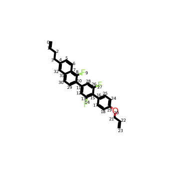 C=CCCc1ccc2c(F)c(-c3cc(F)c(-c4ccc(OCC=C)cc4)c(F)c3)ccc2c1